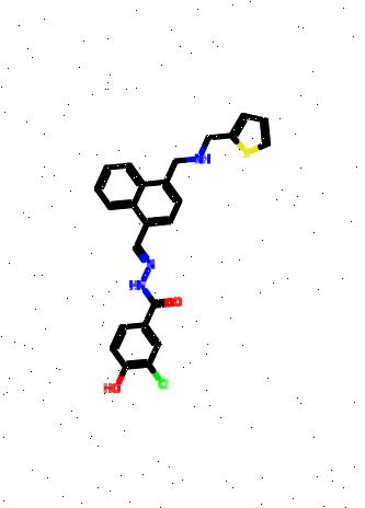 O=C(N/N=C/c1ccc(CNCc2cccs2)c2ccccc12)c1ccc(O)c(Cl)c1